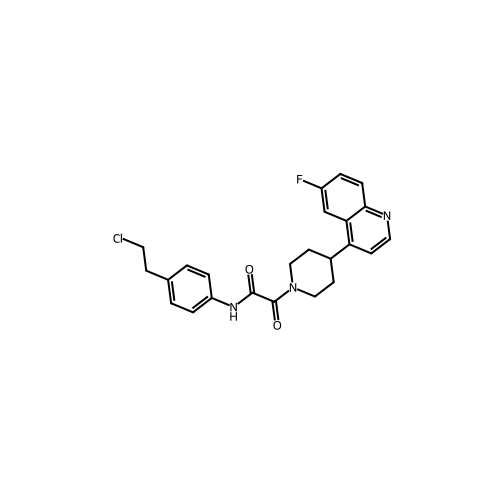 O=C(Nc1ccc(CCCl)cc1)C(=O)N1CCC(c2ccnc3ccc(F)cc23)CC1